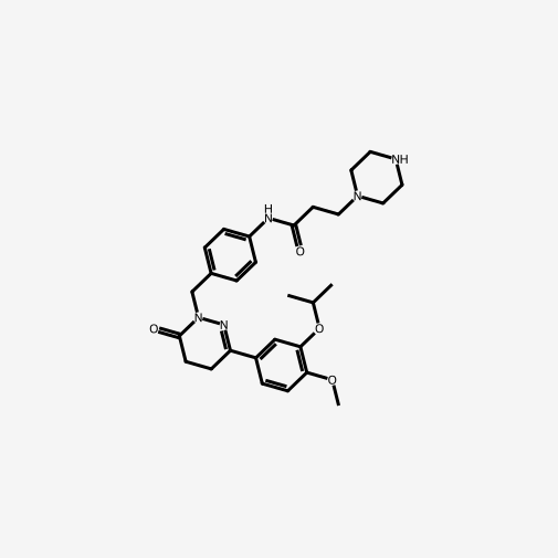 COc1ccc(C2=NN(Cc3ccc(NC(=O)CCN4CCNCC4)cc3)C(=O)CC2)cc1OC(C)C